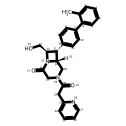 Cc1ccccc1-c1ccc([C@H]2[C@H](CO)N3C(=O)CN(C(=O)Cc4ccccn4)C[C@@H]23)cc1